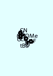 CO[C@@H]1C[C@H](/C(=N/OC(C)(C)C)c2ccc(F)cc2)CC[C@H]1N(C)c1c(C#N)c(=O)n(C)c2ccc(C#N)nc12